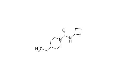 CCC1CCN(C(=O)NC2CCC2)CC1